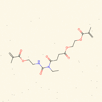 C=C(C)C(=O)OCCNC(=O)N(CC)C(=O)CCC(=O)OCCOC(=O)C(=C)C